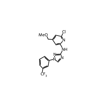 COCc1cc(Cl)nc(Nc2ncn(-c3cccc(C(F)(F)F)c3)n2)c1